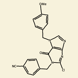 COc1ccc(Cn2cnc3nc(Cl)n(Cc4ccc(C#N)cc4)c(=O)c32)cc1